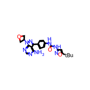 CC(C)(C)c1cc(NC(=O)Nc2ccc(-c3nn(C4COC4)c4ncnc(N)c34)cc2)no1